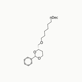 CCCCCCCCCCCCCCCCOC[C@@H]1CCOC(c2ccccc2)O1